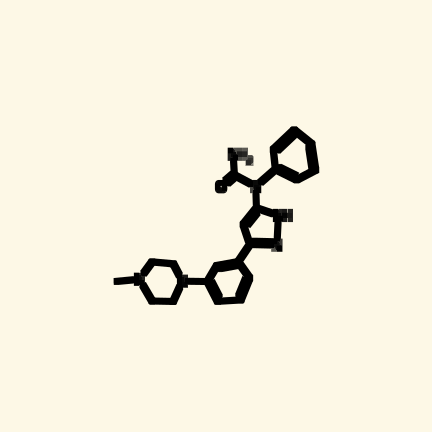 CN1CCN(c2cccc(-c3cc(N(C(N)=O)c4ccccc4)[nH]n3)c2)CC1